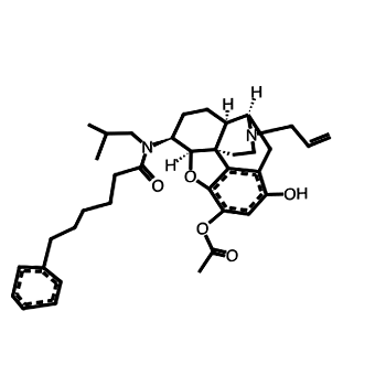 C=CCN1CC[C@]23c4c5c(O)cc(OC(C)=O)c4O[C@H]2[C@@H](N(CC(C)C)C(=O)CCCCCc2ccccc2)CC[C@H]3[C@H]1C5